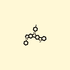 Cc1ccc(-n2c3cc4ccn(-c5ccccc5)c4cc3c3cc4sc5ccccc5c4cc32)cc1